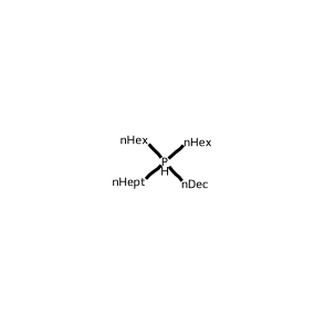 CCCCCCCCCC[PH](CCCCCC)(CCCCCC)CCCCCCC